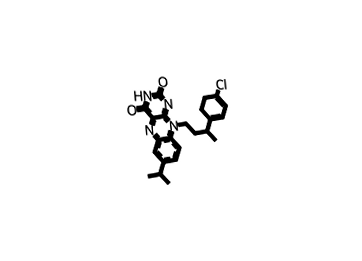 CC(CCn1c2nc(=O)[nH]c(=O)c-2nc2cc(C(C)C)ccc21)C1=CC=C(Cl)CC1